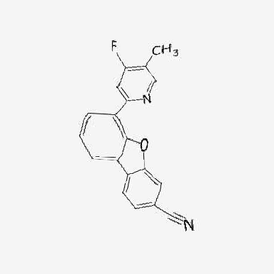 Cc1cnc(-c2cccc3c2oc2cc(C#N)ccc23)cc1F